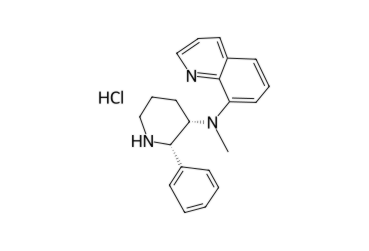 CN(c1cccc2cccnc12)[C@H]1CCCN[C@H]1c1ccccc1.Cl